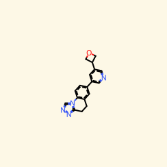 c1cc2c(cc1-c1cncc(C3COC3)c1)CCc1nncn1-2